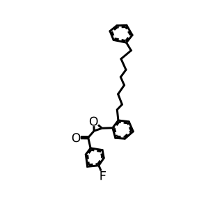 O=C(c1ccc(F)cc1)C1OC1c1ccccc1CCCCCCCCc1ccccc1